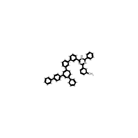 CC1C=CC=C(C2=NC(c3ccccc3)NC(c3cccc(-c4cccc(C5=CC(c6ccc(-c7ccccc7)cc6)=CC(C6C=CC=CC6)=CC5)c4)c3)=N2)C1